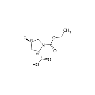 CCOC(=O)N1C[C@H](F)C[C@H]1C(=O)O